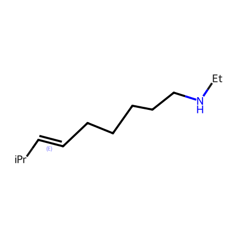 CCNCCCCC/C=C/C(C)C